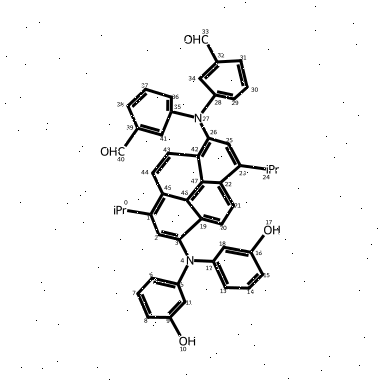 CC(C)c1cc(N(c2cccc(O)c2)c2cccc(O)c2)c2ccc3c(C(C)C)cc(N(c4cccc(C=O)c4)c4cccc(C=O)c4)c4ccc1c2c34